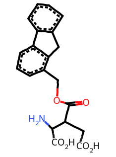 NC(C(=O)O)C(CC(=O)O)C(=O)OCc1cccc2c1Cc1ccccc1-2